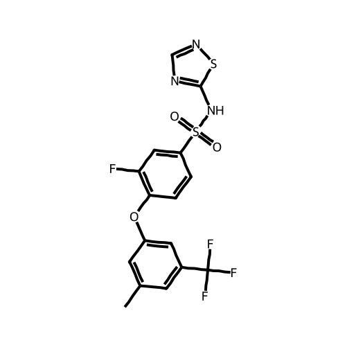 Cc1cc(Oc2ccc(S(=O)(=O)Nc3ncns3)cc2F)cc(C(F)(F)F)c1